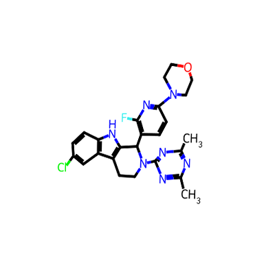 Cc1nc(C)nc(N2CCc3c([nH]c4ccc(Cl)cc34)C2c2ccc(N3CCOCC3)nc2F)n1